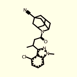 CC(CC(=O)N1C2CC3CC1CC(C#N)(C3)C2)c1nn(C)c2cccc(Cl)c12